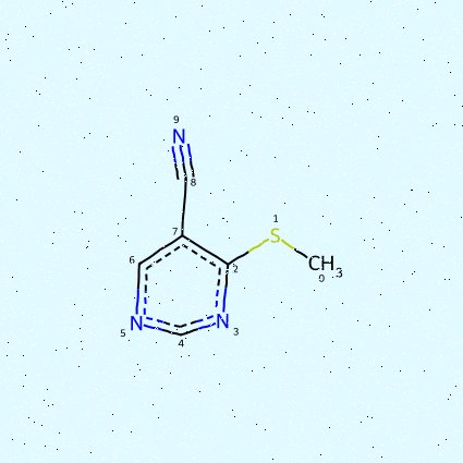 CSc1ncncc1C#N